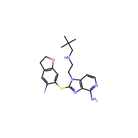 CC(C)(C)CNCCn1c(Sc2cc3c(cc2I)CCO3)nc2c(N)nccc21